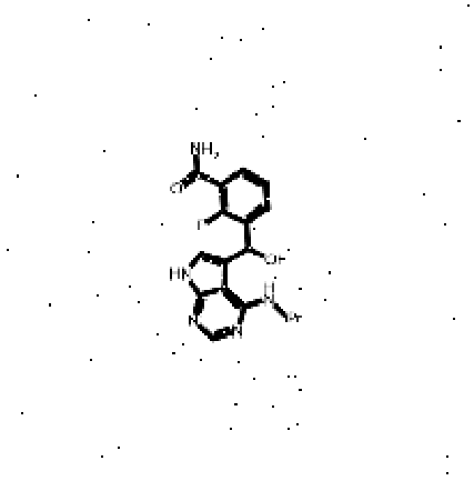 CC(C)Nc1ncnc2[nH]cc(C(O)c3cccc(C(N)=O)c3F)c12